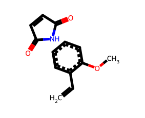 C=Cc1ccccc1OC.O=C1C=CC(=O)N1